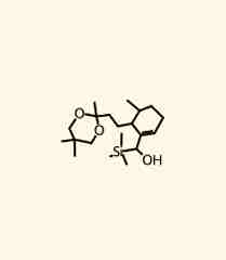 CC1CCC=C(C(O)[Si](C)(C)C)C1CCC1(C)OCC(C)(C)CO1